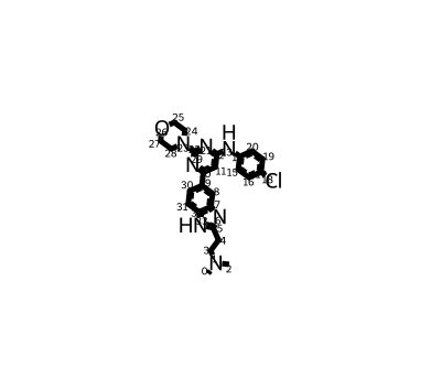 CN(C)CCc1nc2cc(-c3cc(Nc4ccc(Cl)cc4)nc(N4CCOCC4)n3)ccc2[nH]1